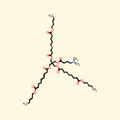 CCCCCOC(=O)CCCCCCCC(=O)OCC(COC(=O)CCCCCCCC(=O)OCCCCC)(COC(=O)CCCCCCCC(=O)OCCCCC)COC(=O)CCCN(C)C